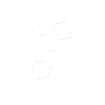 CS(=O)(=O)N[C@@H]1CCCN[C@@H]1CO[C@H]1CC[C@@H](C)CC1